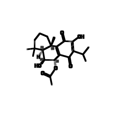 CC(=O)O[C@H]1C2=C(C(=O)C(O)=C(C(C)C)C2=O)[C@@]2(C)CCCC(C)(C)[C@@H]2[C@@H]1O